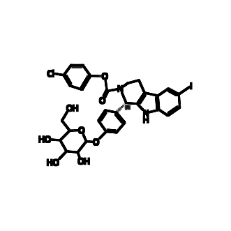 O=C(Oc1ccc(Cl)cc1)N1CCc2c([nH]c3ccc(I)cc23)[C@@H]1c1ccc(OC2OC(CO)C(O)C(O)C2O)cc1